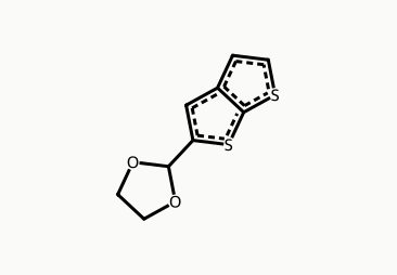 c1cc2cc(C3OCCO3)sc2s1